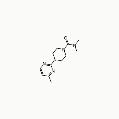 Cc1ccnc(N2CCN(C(=O)N(C)C)CC2)n1